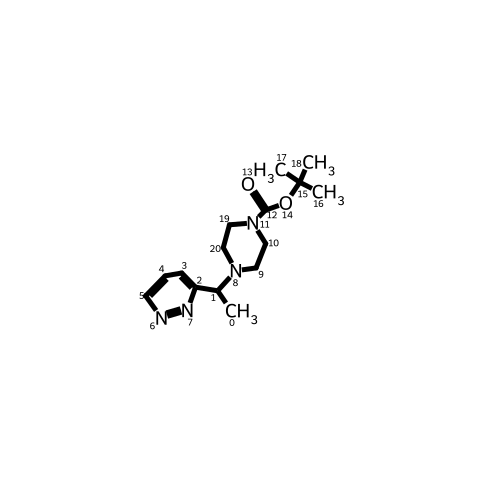 CC(c1cccnn1)N1CCN(C(=O)OC(C)(C)C)CC1